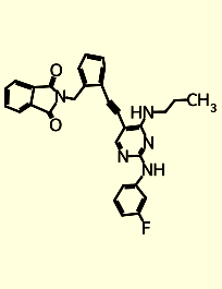 CCCNc1nc(Nc2cccc(F)c2)ncc1C#Cc1ccccc1CN1C(=O)c2ccccc2C1=O